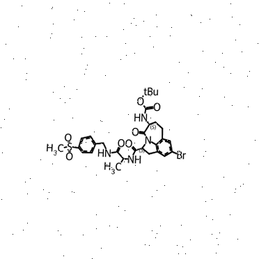 CC(NC(=O)[C@@H]1Cc2cc(Br)cc3c2N1C(=O)[C@@H](NC(=O)OC(C)(C)C)CC3)C(=O)NCc1ccc(S(C)(=O)=O)cc1